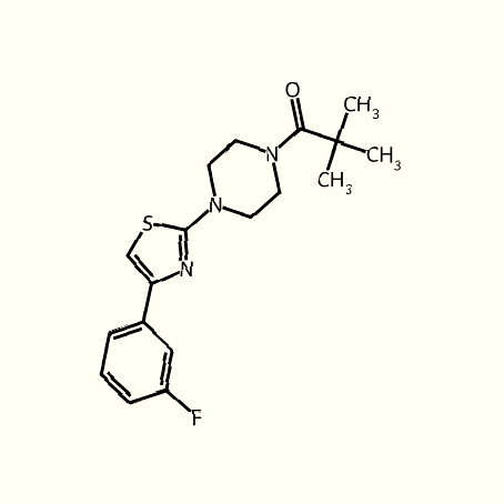 CC(C)(C)C(=O)N1CCN(c2nc(-c3cccc(F)c3)cs2)CC1